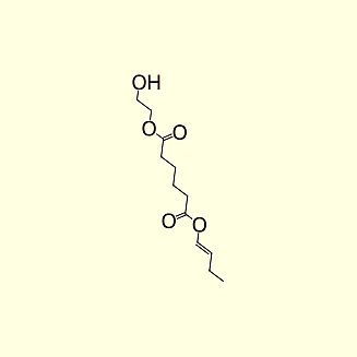 CCC=COC(=O)CCCCC(=O)OCCO